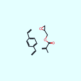 C=C(C)C(=O)OCC1CO1.C=Cc1ccc(C=C)cc1